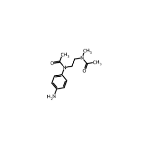 CC(=O)N(C)CCN(C(C)=O)c1ccc(N)cc1